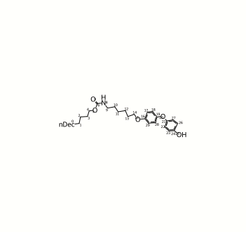 CCCCCCCCCCCCCCOC(=O)NCCCCCCOc1ccc(Oc2ccc(O)cc2)cc1